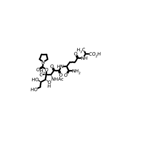 CC(=O)N[C@@H](C(=O)C(=O)NC(CCC(=O)NC(C)C(=O)O)C(N)=O)[C@@](C)(OC(=O)N1CCCC1)[C@H](O)[C@H](O)CO